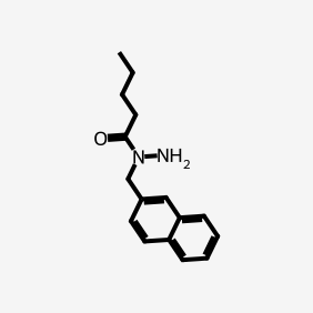 CCCCC(=O)N(N)Cc1ccc2ccccc2c1